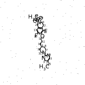 CCc1cnc(N2CCC(CCCOc3c(F)cc4c(c3F)CCN(S(C)(=O)=O)C4)CC2)nc1